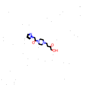 O=C(CO)CCN1CCN(C(=O)Cn2cccn2)CC1